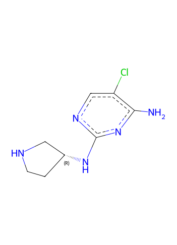 Nc1nc(N[C@@H]2CCNC2)ncc1Cl